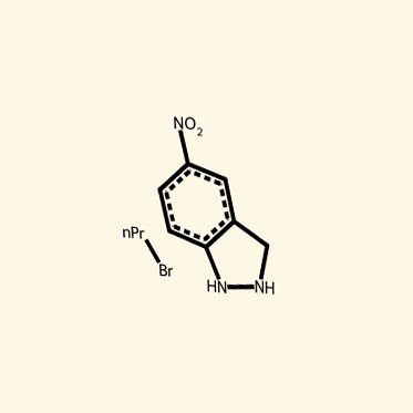 CCCBr.O=[N+]([O-])c1ccc2c(c1)CNN2